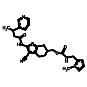 CC(CC(=O)Nc1sc2c(c1C#N)CCC(COC(=O)NCc1cccn1C)C2)c1cccnc1